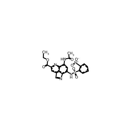 CCOC(=O)c1cc2c3c(c(NS(=O)(=O)c4ccccc4[N+](=O)[O-])cc(NC(C)=O)c3n1)N=C2